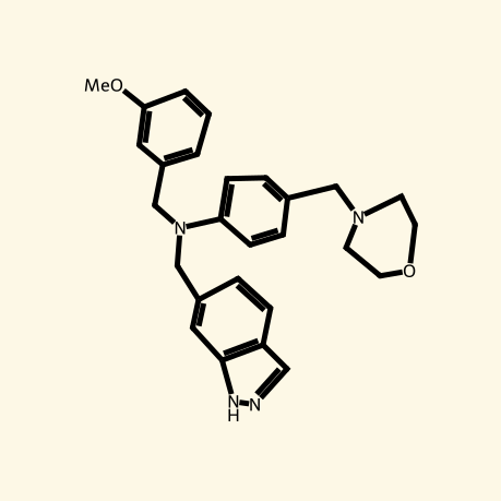 COc1cccc(CN(Cc2ccc3cn[nH]c3c2)c2ccc(CN3CCOCC3)cc2)c1